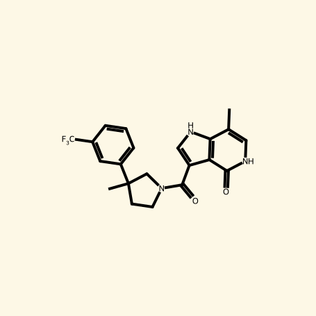 Cc1c[nH]c(=O)c2c(C(=O)N3CCC(C)(c4cccc(C(F)(F)F)c4)C3)c[nH]c12